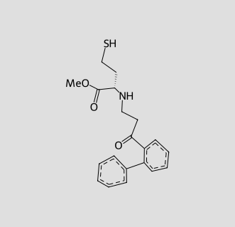 COC(=O)[C@H](CCS)NCCC(=O)c1ccccc1-c1ccccc1